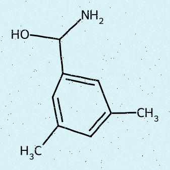 Cc1cc(C)cc(C(N)O)c1